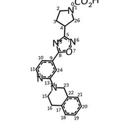 O=C(O)N1CCC(c2noc(-c3ccnc(N4CCc5ccccc5C4)c3)n2)C1